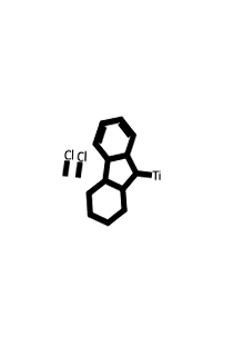 CCl.CCl.[Ti][CH]1C2C=CC=CC2C2CCCCC12